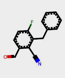 N#Cc1c(C=O)ccc(F)c1Cc1ccccc1